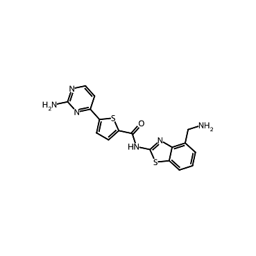 NCc1cccc2sc(NC(=O)c3ccc(-c4ccnc(N)n4)s3)nc12